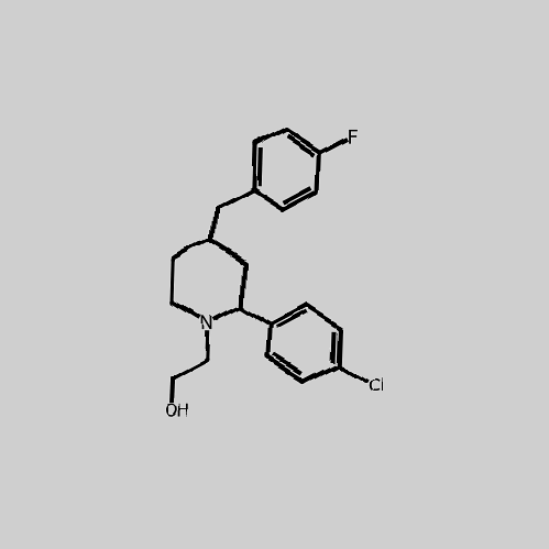 OCCN1CCC(Cc2ccc(F)cc2)CC1c1ccc(Cl)cc1